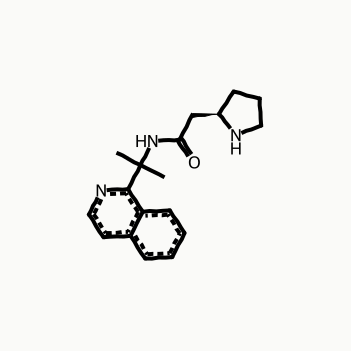 CC(C)(NC(=O)C[C@H]1CCCN1)c1nccc2ccccc12